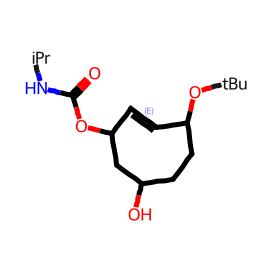 CC(C)NC(=O)OC1/C=C/C(OC(C)(C)C)CCC(O)C1